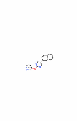 c1ccc2cc(-c3cnc(OC4CN5CCC4CC5)nc3)ccc2c1